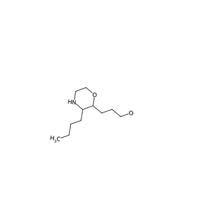 CCCCC1NCCOC1CCC[O]